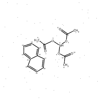 CC(=O)O[SiH](OC(C)=O)OC(C)=O.c1ccc2ccccc2c1